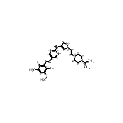 COc1cc(C)c(F)c(COc2cnc(Nc3cnn(CCN4CCN(C(C)C)CC4)c3)nc2)c1F